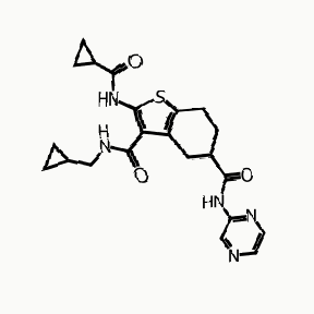 O=C(NCC1CC1)c1c(NC(=O)C2CC2)sc2c1CC(C(=O)Nc1cnccn1)CC2